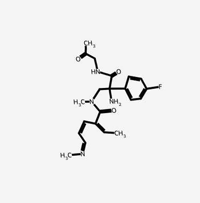 C/C=C(/C=C\C=N/C)C(=O)N(C)CC(N)(C(=O)NCC(C)=O)c1ccc(F)cc1